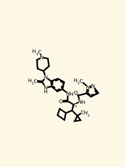 C=C1Nc2cc(NC(=O)[C@@H](NC(=O)c3ccnn3C)C(C3CCC3)C3(C)CC3)ccc2N1C1CCN(C)CC1